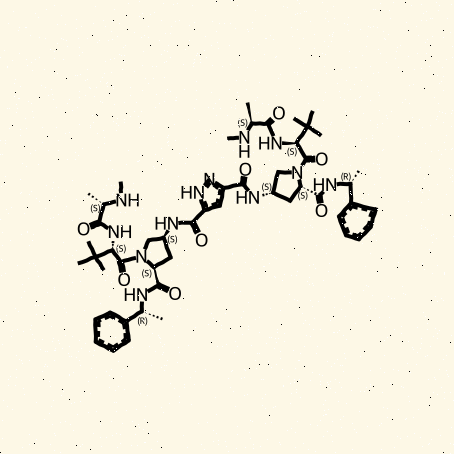 CN[C@@H](C)C(=O)N[C@H](C(=O)N1C[C@@H](NC(=O)c2cc(C(=O)N[C@H]3C[C@@H](C(=O)N[C@H](C)c4ccccc4)N(C(=O)[C@@H](NC(=O)[C@H](C)NC)C(C)(C)C)C3)[nH]n2)C[C@H]1C(=O)N[C@H](C)c1ccccc1)C(C)(C)C